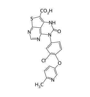 Cc1ccc(Oc2ccc(N3C(=O)Nc4c(C(=O)O)sc5ncnc3c45)cc2Cl)cn1